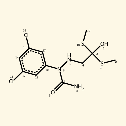 CSC(O)(CNN(C(N)=O)c1cc(Cl)cc(Cl)c1)SC